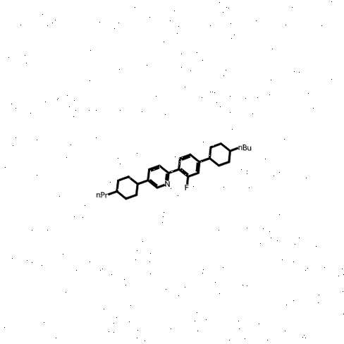 CCCCC1CCC(c2ccc(-c3ccc(C4CCC(CCC)CC4)cn3)c(F)c2)CC1